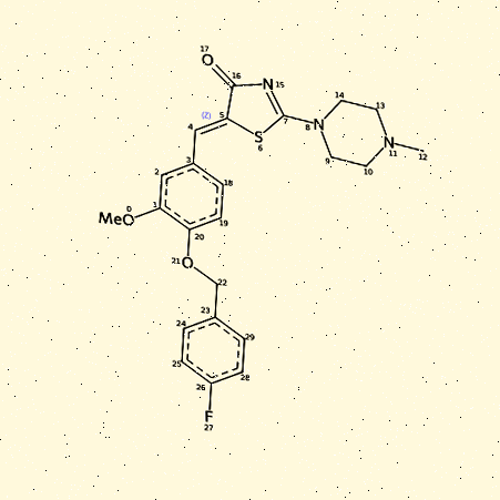 COc1cc(/C=C2\SC(N3CCN(C)CC3)=NC2=O)ccc1OCc1ccc(F)cc1